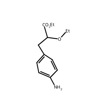 CCOC(=O)C(Cc1ccc(N)cc1)OCC